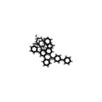 C[C@@H]1CC2C[C@@H](C1)[C@@]1(c3ccccc3-c3cc(-c4ccccc4N(c4ccc(-c5ccccc5)cc4)c4ccc5c(c4)sc4ccccc45)ccc31)[C@@H](C)C2